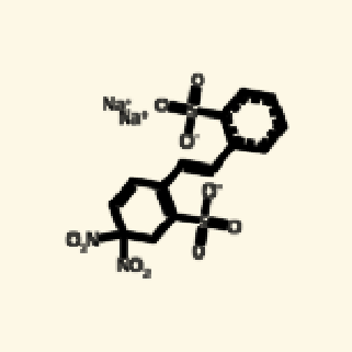 O=[N+]([O-])C1([N+](=O)[O-])C=CC(C=Cc2ccccc2S(=O)(=O)[O-])=C(S(=O)(=O)[O-])C1.[Na+].[Na+]